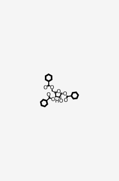 O=C(OC[C@H]1O[C@H](OC(=O)c2ccccc2)[C@@H](O)C1OC(=O)c1ccccc1)c1ccccc1